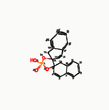 O=P1(O)OC2(C=Cc3ccccc3C2)C2(C=Cc3ccccc3C2)O1